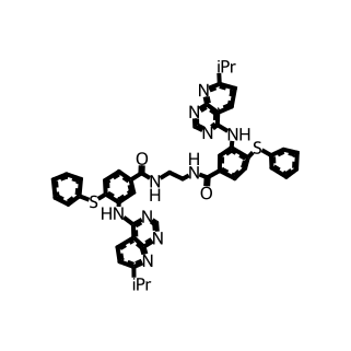 CC(C)c1ccc2c(Nc3cc(C(=O)NCCNC(=O)c4ccc(Sc5ccccc5)c(Nc5ncnc6nc(C(C)C)ccc56)c4)ccc3Sc3ccccc3)ncnc2n1